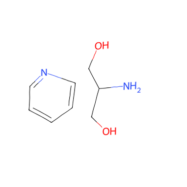 NC(CO)CO.c1ccncc1